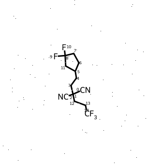 N#CC(C#N)(CCC1CCC(F)(F)C1)CCC(F)(F)F